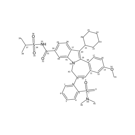 C=S(=O)(c1ccccc1C1=Cc2cc(OC)ccc2-c2c(C3CCCCC3)c3ccc(C(=O)NS(=O)(=O)C(C)C)cc3n2C1)N(C)C